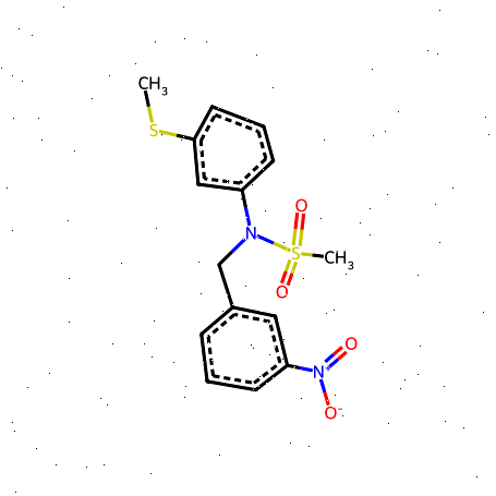 CSc1cccc(N(Cc2cccc([N+](=O)[O-])c2)S(C)(=O)=O)c1